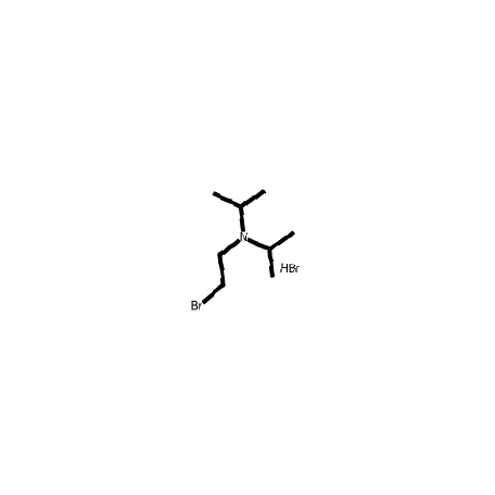 Br.CC(C)N(CCBr)C(C)C